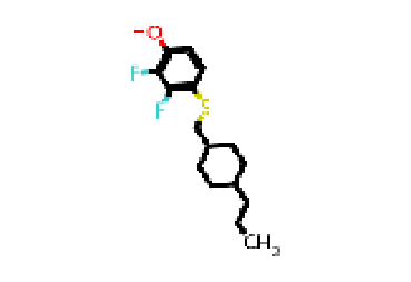 CCCC1CCC(CSc2ccc(O)c(F)c2F)CC1